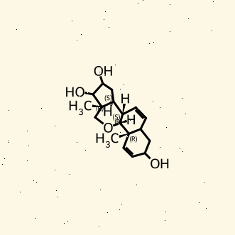 C[C@]12C=CC(O)CC1C=C[C@@H]1[C@H]2OC[C@]2(C)C(O)C(O)C[C@@H]12